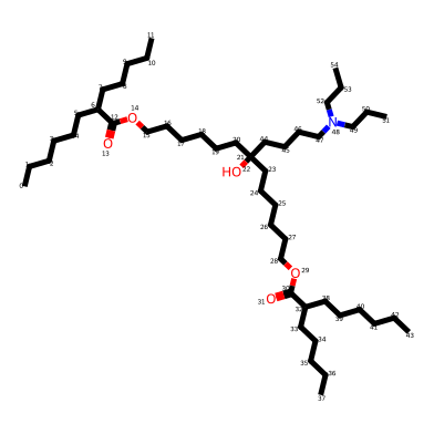 CCCCCCC(CCCCC)C(=O)OCCCCCCC(O)(CCCCCCOC(=O)C(CCCCC)CCCCCC)CCCCN(CCC)CCC